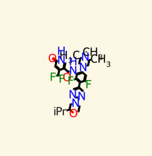 CC(C)C1CN(c2ncc(-c3c(F)cc(N4CC(C)N(C)C(C)C4)c(NC(=O)c4c[nH]c(=O)cc4C(F)F)c3F)cn2)CCO1